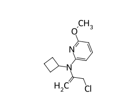 C=C(CCl)N(c1cccc(OC)n1)C1CCC1